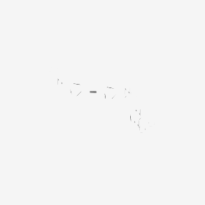 CC(OC1CCCCO1)c1nccn1CC1CC(c2ccc(C#Cc3ccc(CN4CCOCC4)cc3)cc2)=NO1